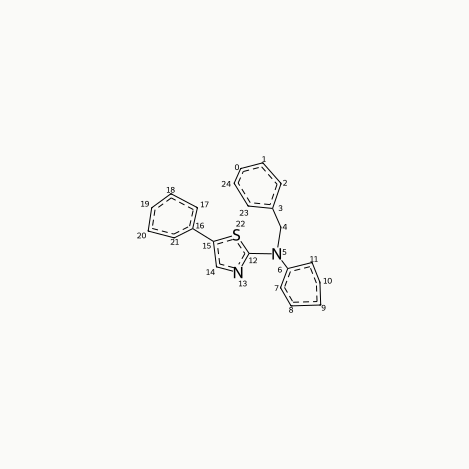 c1ccc(CN(c2ccccc2)c2ncc(-c3ccccc3)s2)cc1